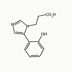 O=C(O)CCn1cncc1-c1ccccc1O